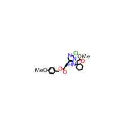 COC(=O)CC1(Nc2nc(Cl)ncc2C#CC(=O)OCc2ccc(OC)cc2)CCCCC1